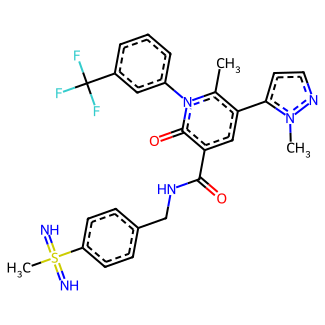 Cc1c(-c2ccnn2C)cc(C(=O)NCc2ccc(S(C)(=N)=N)cc2)c(=O)n1-c1cccc(C(F)(F)F)c1